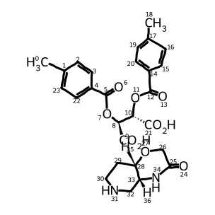 Cc1ccc(C(=O)O[C@H](C(=O)O)[C@H](OC(=O)c2ccc(C)cc2)C(=O)O)cc1.O=C1CO[C@H]2CCNC[C@H]2N1